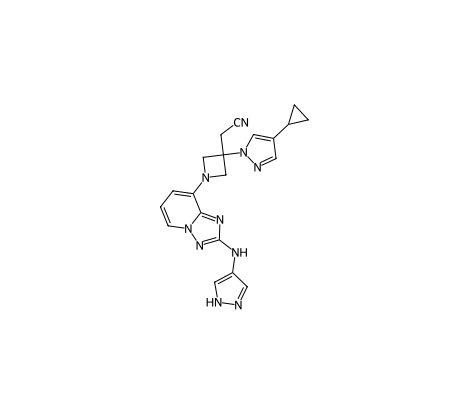 N#CCC1(n2cc(C3CC3)cn2)CN(c2cccn3nc(Nc4cn[nH]c4)nc23)C1